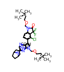 C[Si](C)(C)CCOCN1C(=O)C(F)(F)c2c1ccc(-c1cn(COCC[Si](C)(C)C)c3nc(N4C5CCC4CC(NC(=O)O)C5)cnc13)c2Cl